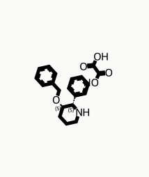 O=C(O)C(=O)O.c1ccc(CO[C@H]2CCCN[C@H]2c2ccccc2)cc1